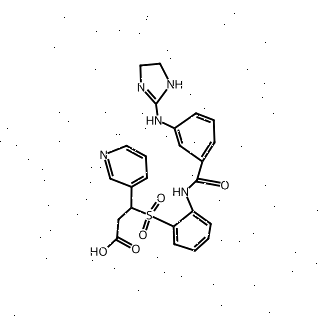 O=C(O)CC(c1cccnc1)S(=O)(=O)c1ccccc1NC(=O)c1cccc(NC2=NCCN2)c1